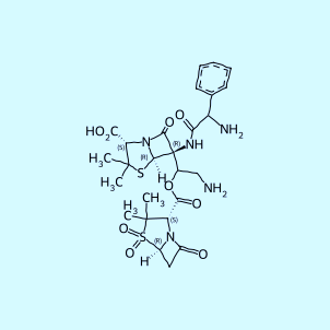 CC1(C)S[C@H]2N(C(=O)[C@]2(NC(=O)C(N)c2ccccc2)C(CN)OC(=O)[C@@H]2N3C(=O)C[C@H]3S(=O)(=O)C2(C)C)[C@H]1C(=O)O